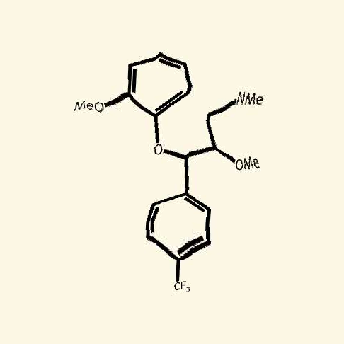 CNCC(OC)C(Oc1ccccc1OC)c1ccc(C(F)(F)F)cc1